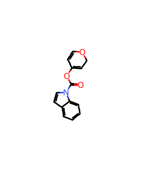 O=C(OC1=CCOC=C1)n1ccc2ccccc21